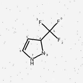 FC(F)(F)C1C=CN[N]1